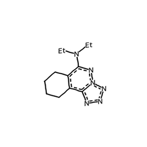 CCN(CC)c1nn2nnnc2c2c1CCCC2